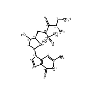 Nc1nc2c(ncn2[C@H]2CC(O)[C@@H](CN(C(=O)[C@@H](N)CC(=O)O)P(=O)(O)O)O2)c(=O)[nH]1